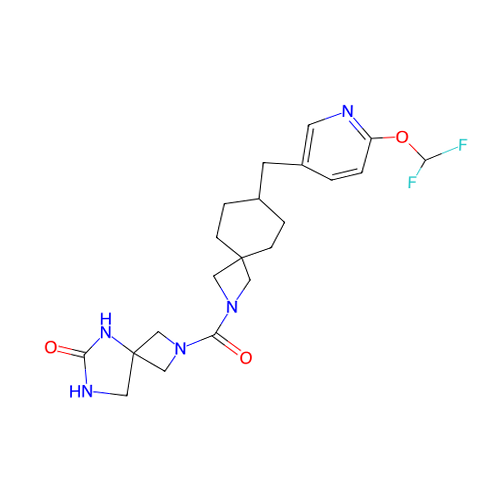 O=C1NCC2(CN(C(=O)N3CC4(CCC(Cc5ccc(OC(F)F)nc5)CC4)C3)C2)N1